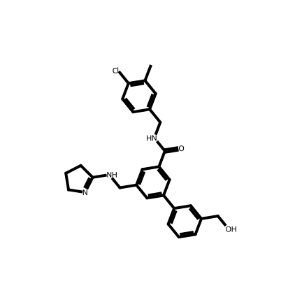 Cc1cc(CNC(=O)c2cc(CNC3=NCCC3)cc(-c3cccc(CO)c3)c2)ccc1Cl